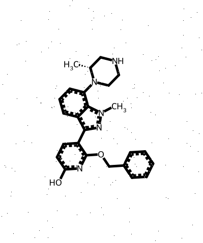 C[C@@H]1CNCCN1c1cccc2c(-c3ccc(O)nc3OCc3ccccc3)nn(C)c12